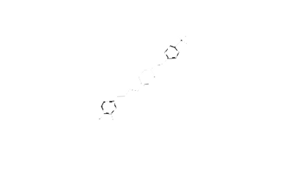 FC(F)(F)c1ccc(COC2CCN(CCCOc3ccc(Cl)c(Cl)c3)CC2)cc1